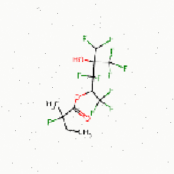 CCC(C)(F)C(=O)OC(C(F)(F)F)C(F)(F)C(O)(C(F)F)C(F)(F)F